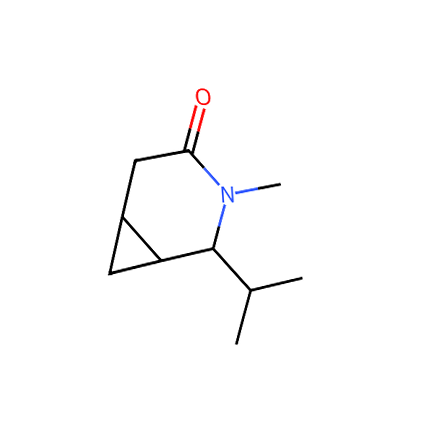 CC(C)C1C2CC2CC(=O)N1C